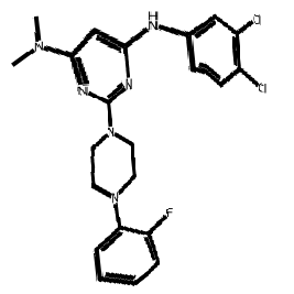 CN(C)c1cc(Nc2ccc(Cl)c(Cl)c2)nc(N2CCN(c3ccccc3F)CC2)n1